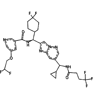 O=C(CCC(F)(F)F)NC(c1cnn2cc([C@@H](NC(=O)c3cncc(OCC(F)F)c3)C3CCC(F)(F)CC3)nc2c1)C1CC1